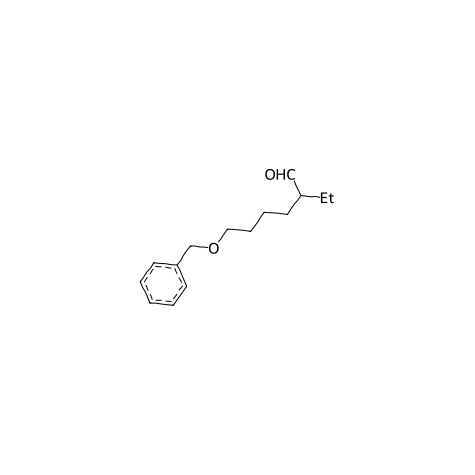 CCC(C=O)CCCCOCc1ccccc1